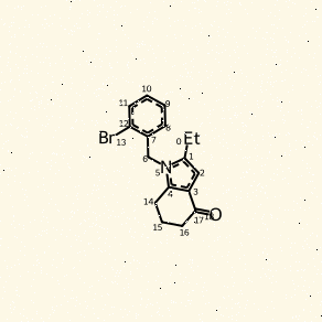 CCc1cc2c(n1Cc1ccccc1Br)CCCC2=O